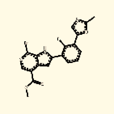 COC(=O)c1cnc(Br)c2[nH]c(-c3cccc(-c4cnc(C)o4)c3F)cc12